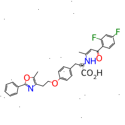 CC(=CC(=O)c1ccc(F)cc1F)N[C@@H](Cc1ccc(OCCc2nc(-c3ccccc3)oc2C)cc1)C(=O)O